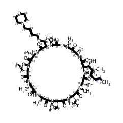 C/C=C/C[C@@H](C)[C@@H](O)[C@@H]1C(=O)N[C@@H](CC)C(=O)N(C)CC(=O)N(C)[C@@H]([C@@H](C)OCCCCN2CCOCC2)C(=O)N[C@@H](C(C)C)C(=O)N(C)[C@@H](CC(C)C)C(=O)N[C@@H](C)C(=O)N[C@H](C)C(=O)N(C)[C@@H](CC(C)C)C(=O)N(C)[C@@H](CC(C)C)C(=O)N(C)[C@@H](C(C)C)C(=O)N1C